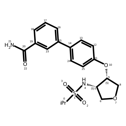 CC(C)S(=O)(=O)N[C@H]1COC[C@H]1Oc1ccc(-c2cccc(C(N)=O)c2)cc1